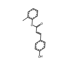 Cc1ccccc1OC(=O)/C=C/c1ccc(O)cc1